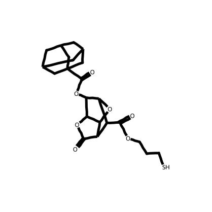 O=C1OC2C(OC(=O)C34CC5CC(CC(C5)C3)C4)C3OC2C1C3C(=O)OCCCS